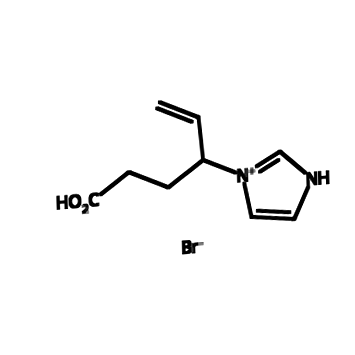 C=CC(CCC(=O)O)[n+]1cc[nH]c1.[Br-]